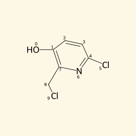 Oc1ccc(Cl)nc1CCl